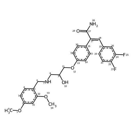 COc1ccc(CNCC(O)COc2ccc(/C(=C\c3ccc(F)c(F)c3)C(N)=O)cc2)c(OC)c1